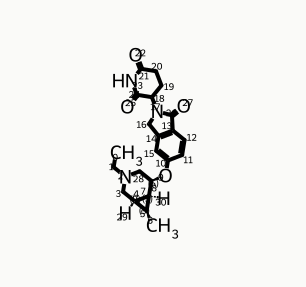 CCN1C[C@@H]2[C@H](C)[C@@H]2[C@H](Oc2ccc3c(c2)CN(C2CCC(=O)NC2=O)C3=O)C1